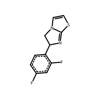 Fc1ccc(C2CN3C=CSC3=N2)c(F)c1